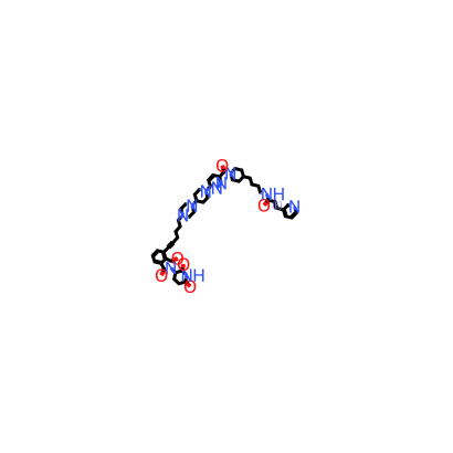 O=C(/C=C/c1cccnc1)NCCCCC1CCN(C(=O)c2ccc(N3CCC(N4CCN(CCCCC#Cc5cccc6c5C(=O)N(C5CCC(=O)NC5=O)C6=O)CC4)CC3)nn2)CC1